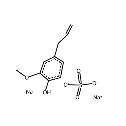 C=CCc1ccc(O)c(OC)c1.O=S(=O)([O-])[O-].[Na+].[Na+]